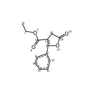 CCOC(=O)C1=C(c2ccccc2)OC(=O)C1